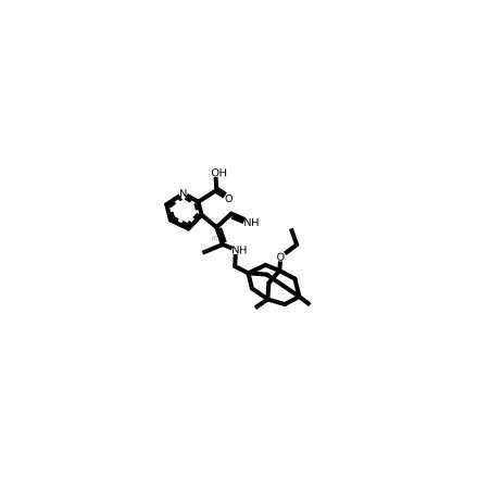 CCOC12CC3(C)CC(C)(CC(CN/C(C)=C(\C=N)c4cccnc4C(=O)O)(C3)C1)C2